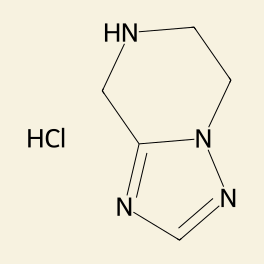 Cl.c1nc2n(n1)CCNC2